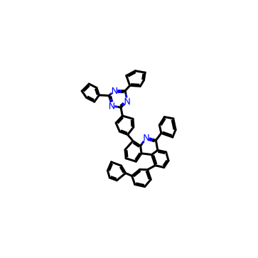 c1ccc(-c2cccc(-c3cccc4c(-c5ccccc5)nc5c(-c6ccc(-c7nc(-c8ccccc8)nc(-c8ccccc8)n7)cc6)cccc5c34)c2)cc1